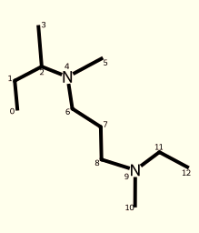 CCC(C)N(C)CCCN(C)CC